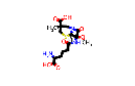 COC1(NC(=O)CCCC(N)C(=O)O)C(=O)N2CC(C)(C(=O)O)CS[C@@H]21